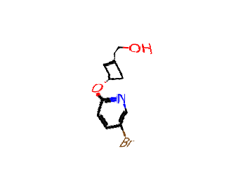 OC[C@H]1C[C@H](Oc2ccc(Br)cn2)C1